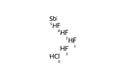 Cl.F.F.F.F.[Sb]